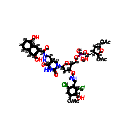 COc1cc(Cl)c(/C=N/O[C@@H]2C[C@H](n3cc(CNC(=O)c4cc5c(O)cccc5cc4O)c(=O)[nH]c3=O)OC2COP(=O)(O)OC[C@@H]2C[C@H](OC(C)=O)OC2OC(C)=O)c(Cl)c1O